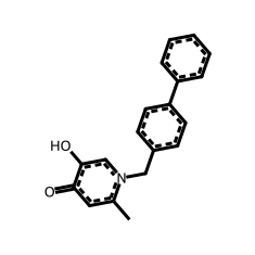 Cc1cc(=O)c(O)cn1Cc1ccc(-c2ccccc2)cc1